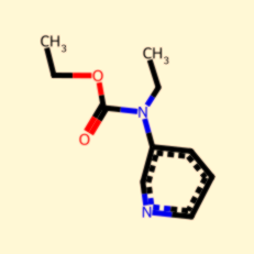 CCOC(=O)N(CC)c1cccnc1